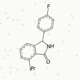 CC(C)c1cccc2c1C(=O)NC2c1ccc(F)cc1